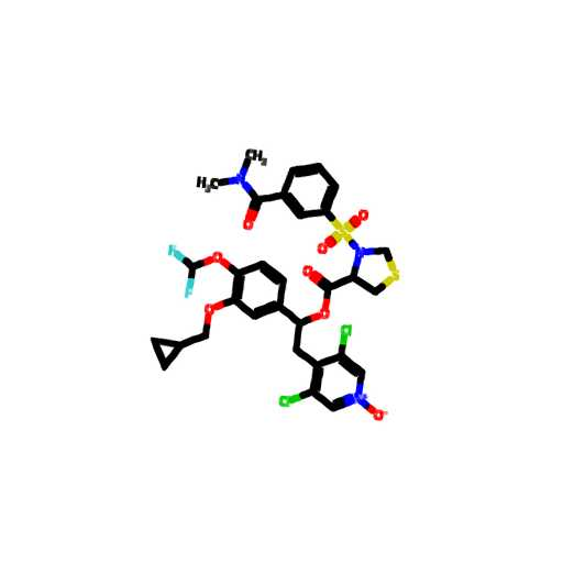 CN(C)C(=O)c1cccc(S(=O)(=O)N2CSCC2C(=O)OC(Cc2c(Cl)c[n+]([O-])cc2Cl)c2ccc(OC(F)F)c(OCC3CC3)c2)c1